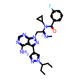 CCC(CC)n1cc(-c2nn(C/C(=N/C)N(C(=O)c3cccc(F)c3)C3CC3)c3ncnc(N)c23)cn1